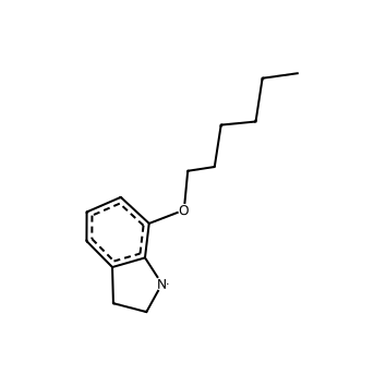 CCCCCCOc1cccc2c1[N]CC2